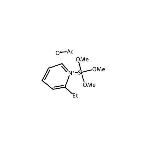 CC(=O)[O-].CCc1cccc[n+]1[Si](OC)(OC)OC